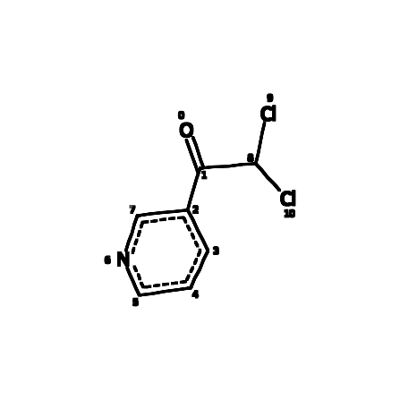 O=C(c1cccnc1)C(Cl)Cl